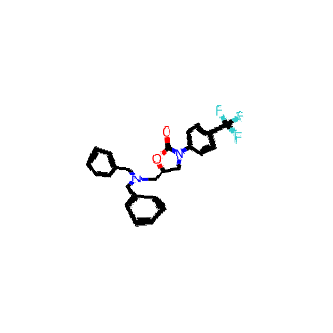 O=C1O[C@H](CN(Cc2ccccc2)Cc2ccccc2)CN1c1ccc(C(F)(F)F)cc1